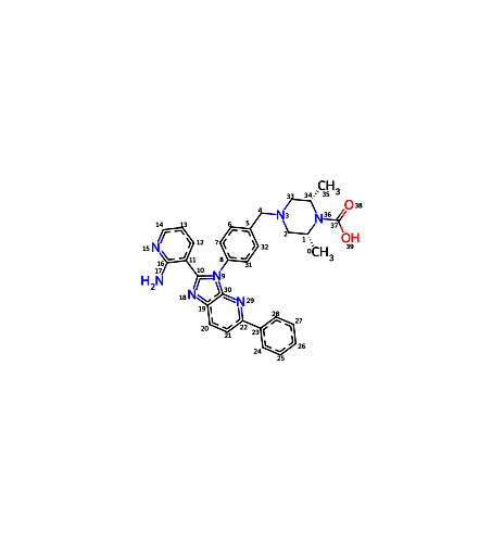 C[C@@H]1CN(Cc2ccc(-n3c(-c4cccnc4N)nc4ccc(-c5ccccc5)nc43)cc2)C[C@H](C)N1C(=O)O